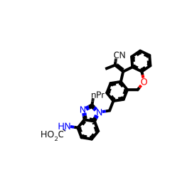 CCCc1nc2c(NC(=O)O)cccc2n1Cc1ccc2c(c1)COc1ccccc1C2=C(C)C#N